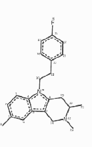 Cc1ccc2c(c1)c1c(n2CCc2ccc(F)cc2)CC(C)N(C)C1